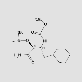 CC(C)(C)OC(=O)N[C@H](CC1CCCCC1)[C@H](O[Si](C)(C)C(C)(C)C)C(N)=O